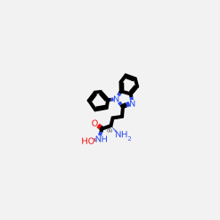 N[C@@H](CCc1nc2ccccc2n1-c1ccccc1)C(=O)NO